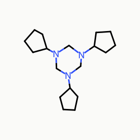 C1CCC(N2CN(C3CCCC3)CN(C3CCCC3)C2)C1